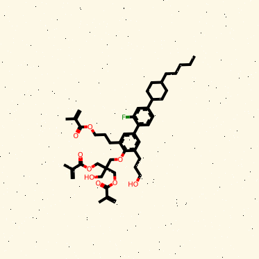 C=C(C)C(=O)OCCCc1cc(-c2ccc(C3CCC(CCCCC)CC3)cc2F)cc(CCCO)c1OCC(CO)(COC(=O)C(=C)C)COC(=O)C(=C)C